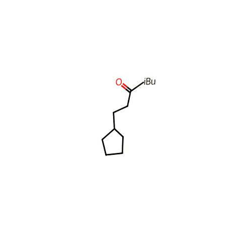 CCC(C)C(=O)CCC1CCCC1